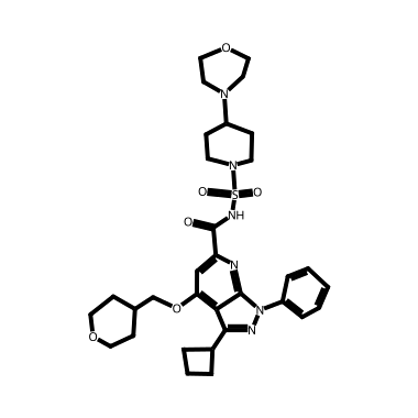 O=C(NS(=O)(=O)N1CCC(N2CCOCC2)CC1)c1cc(OCC2CCOCC2)c2c(C3CCC3)nn(-c3ccccc3)c2n1